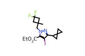 CCOC(=O)c1c(I)c(C2CC23CC3)nn1CC1(C)CC(F)(F)C1